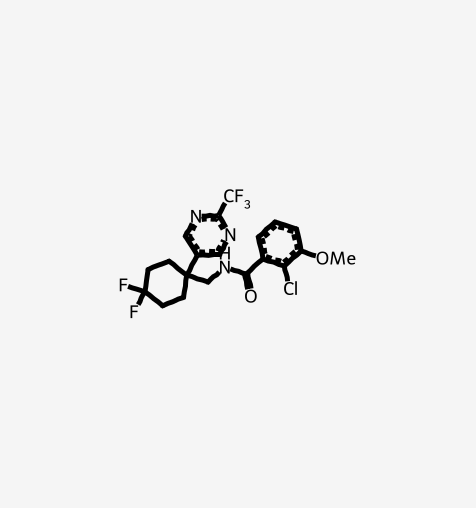 COc1cccc(C(=O)NCC2(c3cnc(C(F)(F)F)nc3)CCC(F)(F)CC2)c1Cl